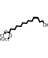 CCCCCCCCOC(CCCCCCCC/C=C\CCO)OCCCCCCCC